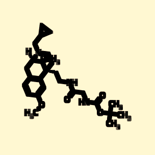 COc1ccc2c(c1)[C@]1(CCNC(=O)CNC(=O)OC(C)(C)C)CCN(CC3CC3)[C@H](C2)[C@@H]1C